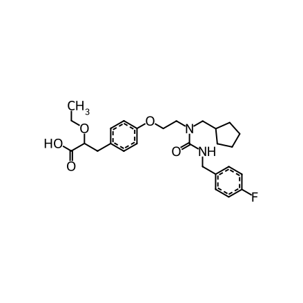 CCOC(Cc1ccc(OCCN(CC2CCCC2)C(=O)NCc2ccc(F)cc2)cc1)C(=O)O